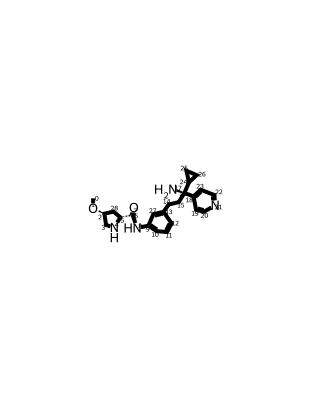 CO[C@H]1CN[C@@H](C(=O)Nc2cccc(CC[C@@](N)(c3ccncc3)C3CC3)c2)C1